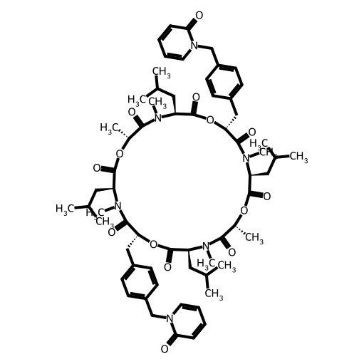 CC(C)C[C@H]1C(=O)O[C@H](Cc2ccc(Cn3ccccc3=O)cc2)C(=O)N(C)[C@@H](CC(C)C)C(=O)O[C@H](C)C(=O)N(C)[C@@H](CC(C)C)C(=O)O[C@H](Cc2ccc(Cn3ccccc3=O)cc2)C(=O)N(C)[C@@H](CC(C)C)C(=O)O[C@H](C)C(=O)N1C